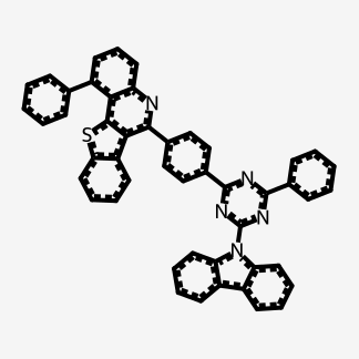 c1ccc(-c2nc(-c3ccc(-c4nc5cccc(-c6ccccc6)c5c5sc6ccccc6c45)cc3)nc(-n3c4ccccc4c4ccccc43)n2)cc1